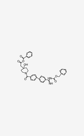 N=C(NC(=O)OCc1ccccc1)c1ccc(-c2ccc(C(=O)N3CCC(O)(CC(=O)OC(=O)c4ccccc4)CC3)cc2)cc1